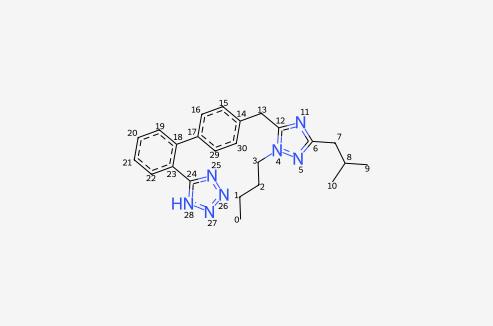 CCCCn1nc(CC(C)C)nc1Cc1ccc(-c2ccccc2-c2nnn[nH]2)cc1